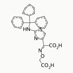 O=C(O)CON=C(C(=O)O)c1csc(NC(c2ccccc2)(c2ccccc2)c2ccccc2)n1